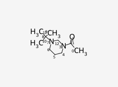 CC(=O)N1CCCN(C(C)(C)C)C1